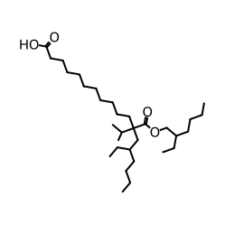 CCCCC(CC)COC(=O)C(CCCCCCCCCCC(=O)O)(CC(CC)CCCC)C(C)C